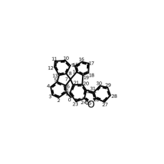 Cc1cccc2c1C1(c3ccccc3-2)c2ccccc2-c2c1ccc1oc3ccccc3c21